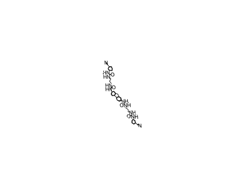 N#Cc1cccc(NC(=O)NCCCNC(=O)Nc2ccc3c(c2)Cc2cc(NC(=O)NCCCNC(=O)Nc4cccc(C#N)c4)ccc2-3)c1